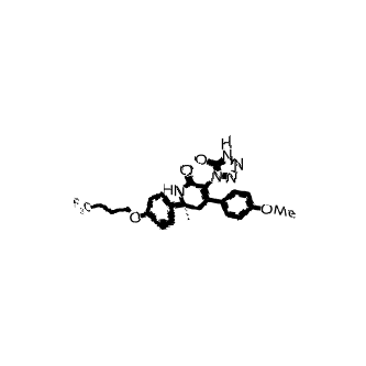 COc1ccc(C2=C(n3nn[nH]c3=O)C(=O)N[C@](C)(c3ccc(OCCCC(F)(F)F)cc3)C2)cc1